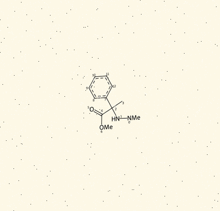 CNNC(C)(C(=O)OC)c1ccccc1